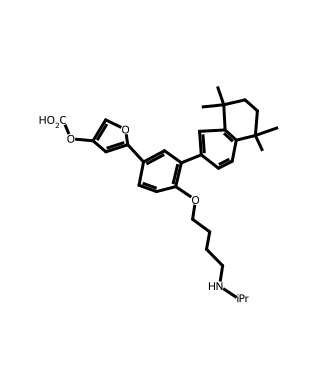 CC(C)NCCCCOc1ccc(-c2cc(OC(=O)O)co2)cc1-c1ccc2c(c1)C(C)(C)CCC2(C)C